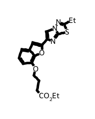 CCOC(=O)CCCOc1cccc2cc(-c3cn4nc(CC)sc4n3)oc12